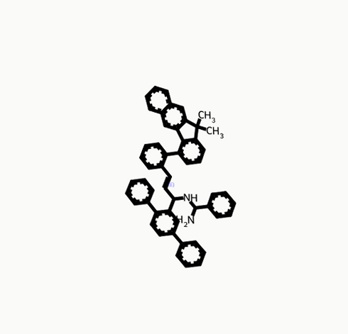 CC1(C)c2cc3ccccc3cc2-c2c(-c3ccccc3/C=C/C(NC(N)c3ccccc3)c3cc(-c4ccccc4)ccc3-c3ccccc3)cccc21